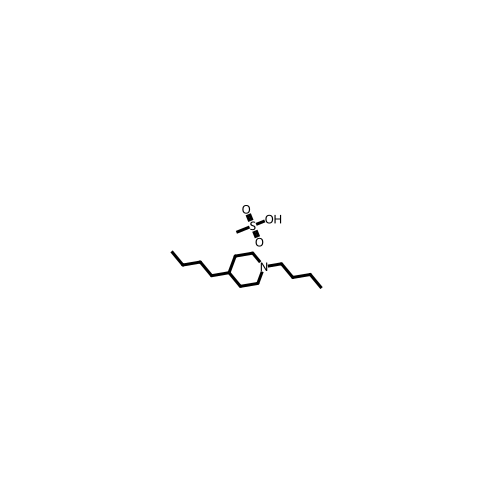 CCCCC1CCN(CCCC)CC1.CS(=O)(=O)O